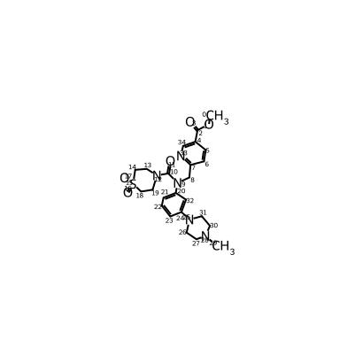 COC(=O)c1ccc(CN(C(=O)N2CCS(=O)(=O)CC2)c2cccc(N3CCN(C)CC3)c2)nc1